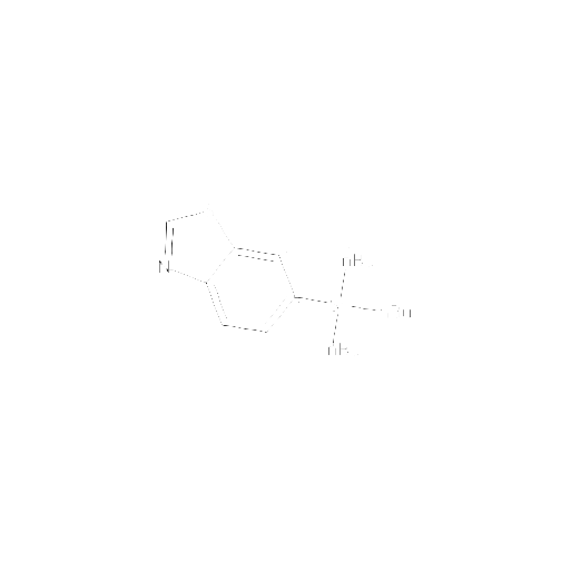 CCC[CH2][Sn]([CH2]CCC)([CH2]CCC)[c]1ccc2ncsc2c1